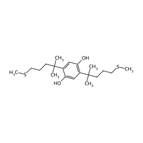 CSCCCC(C)(C)c1cc(O)c(C(C)(C)CCCSC)cc1O